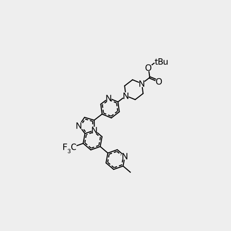 Cc1ccc(-c2cc(C(F)(F)F)c3ncc(-c4ccc(N5CCN(C(=O)OC(C)(C)C)CC5)nc4)n3c2)cn1